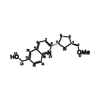 COC[C@@H]1CC[C@@H](c2ccc3cc(CO)ccc3n2)C1